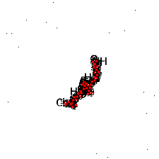 CC1(C)CCC(c2ccc(Cl)cc2)=C(CN2CCN(c3ccc(C(=O)NS(=O)(=O)c4ccc(N[C@H](CCN5CC6CN(CC7CCN(c8ccc(C9CCC(=O)NC9=O)cc8)CC7)CC6C5)CSc5ccccc5)c(S(=O)(=O)C(F)(F)F)c4)cc3)CC2)C1